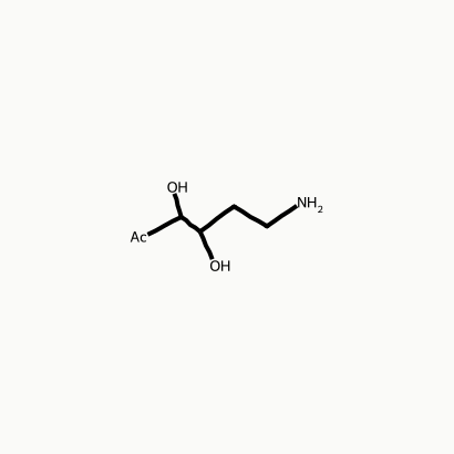 CC(=O)C(O)C(O)CCN